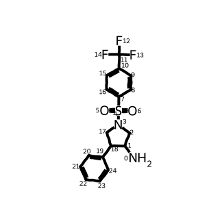 NC1CN(S(=O)(=O)c2ccc(C(F)(F)F)cc2)CC1c1ccccc1